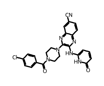 N#Cc1ccc2nc(Nc3cccc(=O)[nH]3)c(N3CCN(C(=O)c4ccc(Cl)cc4)CC3)nc2c1